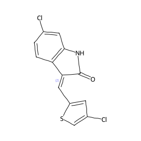 O=C1Nc2cc(Cl)ccc2/C1=C/c1cc(Cl)cs1